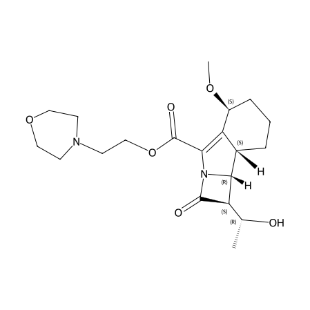 CO[C@H]1CCC[C@H]2C1=C(C(=O)OCCN1CCOCC1)N1C(=O)[C@H]([C@@H](C)O)[C@@H]21